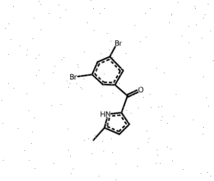 Cc1ccc(C(=O)c2cc(Br)cc(Br)c2)[nH]1